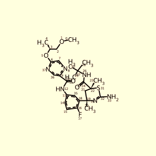 COC[C@H](C)Oc1cnc(C(=O)Nc2ccc(F)c([C@]3(C)C[C@](C)(C(=O)NC(C)(C)C)SC(N)=N3)c2)cn1